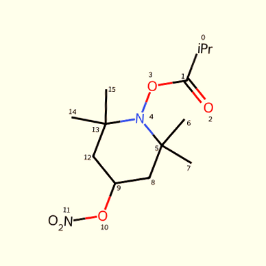 CC(C)C(=O)ON1C(C)(C)CC(O[N+](=O)[O-])CC1(C)C